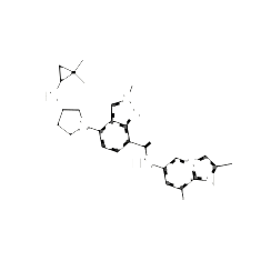 Cc1cn2cc(NC(=O)c3ccc(N4CC[C@H](NC5CC5(C)C)C4)c4cn(C)nc34)cc(F)c2n1